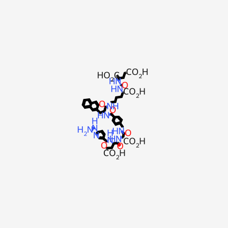 NNc1ccc(C(=O)NC(CCC(=O)O)C(=O)NC(C(=O)O)C(=O)NCc2ccc(C(=O)NC(Cc3ccc4ccccc4c3)C(=O)NCCCCC(NC(=O)NC(CCC(=O)O)C(=O)O)C(=O)O)cc2)cn1